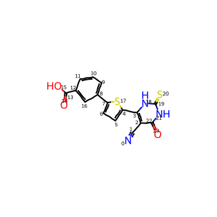 N#Cc1c(-c2ccc(-c3cccc(C(=O)O)c3)s2)[nH]c(=S)[nH]c1=O